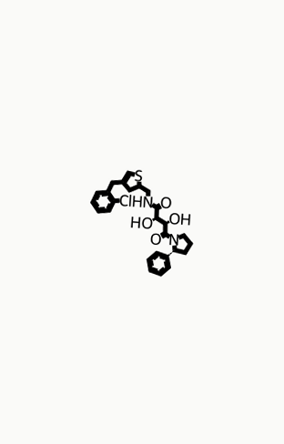 O=C(NCC1CC(Cc2ccccc2Cl)=CS1)[C@H](O)[C@@H](O)C(=O)N1CCC[C@@H]1c1ccccc1